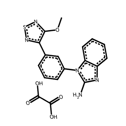 COc1nsnc1-c1cccc(-n2c(N)nc3ccccc32)c1.O=C(O)C(=O)O